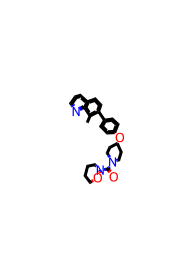 Cc1c(-c2ccc(OC3CCN(C(=O)N4CCCCO4)CC3)cc2)ccc2cccnc12